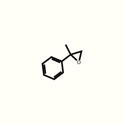 CC1(c2ccccc2)CO1